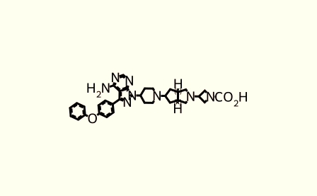 Nc1ncnc2c1c(-c1ccc(Oc3ccccc3)cc1)nn2C1CCN(C2C[C@@H]3CN(C4CN(C(=O)O)C4)C[C@@H]3C2)CC1